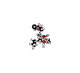 CC(C)[Si](O)(O[Si](O[C@H]1[C@@H](OP(=O)(OCCC#N)OC[C@@]23CO[C@@H]([C@H](C(=O)c4ccccc4)O2)[C@@H]3O[PH](=O)O)[C@H](n2cc(F)c3c(=O)[nH]cnc32)O[C@@H]1CO)(C(C)C)C(C)C)C(C)C